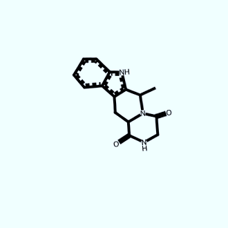 CC1c2[nH]c3ccccc3c2CC2C(=O)NCC(=O)N21